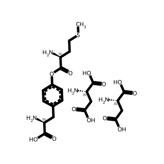 CSCC[C@H](N)C(=O)Oc1ccc(C[C@H](N)C(=O)O)cc1.N[C@@H](CC(=O)O)C(=O)O.N[C@@H](CC(=O)O)C(=O)O